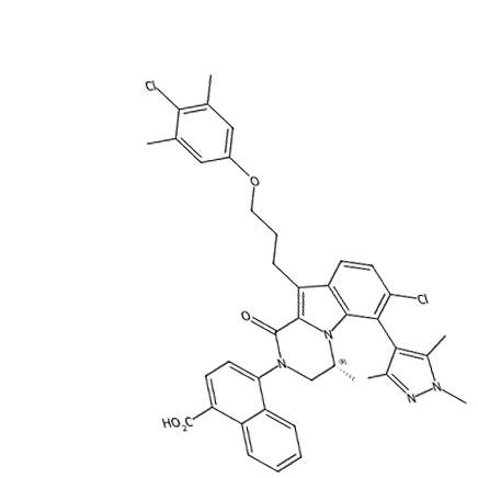 Cc1cc(OCCCc2c3n(c4c(-c5c(C)nn(C)c5C)c(Cl)ccc24)[C@H](C)CN(c2ccc(C(=O)O)c4ccccc24)C3=O)cc(C)c1Cl